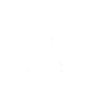 CC(C)(C)OC(=O)NCCCC[C@H](NC(=O)OCc1ccccc1)C(O)/C(N)=N/O